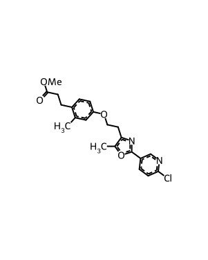 COC(=O)CCc1ccc(OCCc2nc(-c3ccc(Cl)nc3)oc2C)cc1C